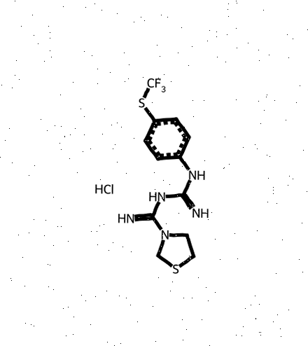 Cl.N=C(NC(=N)N1CCSC1)Nc1ccc(SC(F)(F)F)cc1